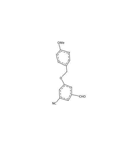 COc1ccc(COc2cc(C#N)cc(C=O)c2)cc1